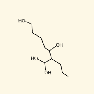 CCCC(C(O)O)C(O)CCCCO